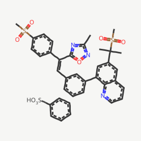 Cc1noc(C(=Cc2cccc(-c3cc(C(C)(C)S(C)(=O)=O)cc4cccnc34)c2)c2ccc(S(C)(=O)=O)cc2)n1.O=S(=O)(O)c1ccccc1